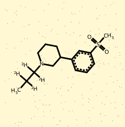 [2H]C([2H])(C)C([2H])([2H])N1CCCC(c2cccc(S(C)(=O)=O)c2)C1